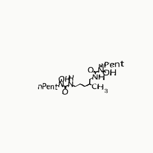 CCCCCN(O)C(=O)NCCCC(C)CNC(=O)N(O)CCCCC